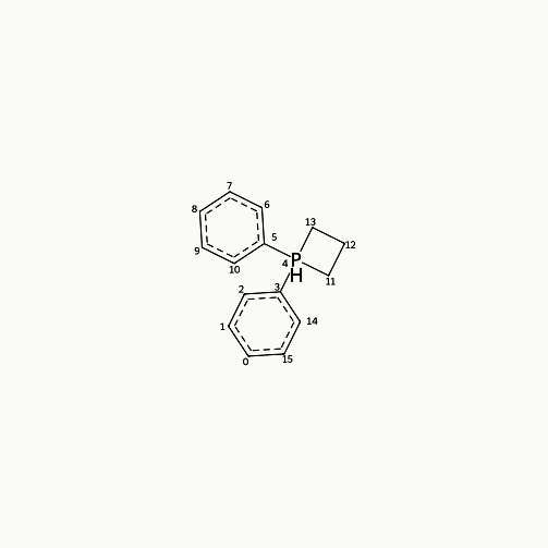 c1ccc([PH]2(c3ccccc3)CCC2)cc1